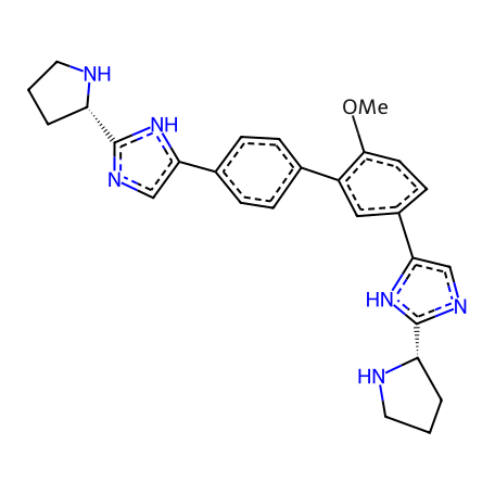 COc1ccc(-c2cnc([C@@H]3CCCN3)[nH]2)cc1-c1ccc(-c2cnc([C@@H]3CCCN3)[nH]2)cc1